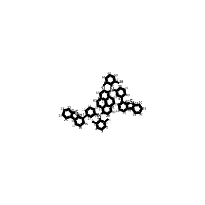 Cc1cccc(C)c1N(c1cccc(-c2cccc3c2sc2ccccc23)c1)c1ccc2ccc3c(N(c4cccc(-c5cccc6c5sc5ccccc56)c4)c4c(C)cccc4C)ccc4ccc1c2c43